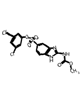 COC(=O)Nc1nc2cc(S(=O)(=O)Oc3cc(Cl)cc(Cl)c3)ccc2[nH]1